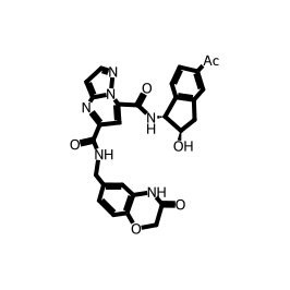 CC(=O)c1ccc2c(c1)C[C@@H](O)[C@@H]2NC(=O)c1cc(C(=O)NCc2ccc3c(c2)NC(=O)CO3)nc2ccnn12